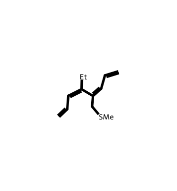 C=C/C=C(CC)\C(=C/C=C)CSC